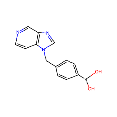 OB(O)c1ccc(Cn2cnc3cnccc32)cc1